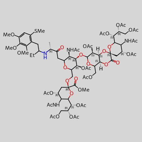 CCC(Cc1c(SC)cc(OC)c(OC)c1OC)N[C@H](C)C(=O)CC1OC(CO[C@]2(C(=O)OC)C[C@@H](OC(C)=O)C(NC(C)=O)C([C@H](OC(C)=O)[C@@H](COC(C)=O)OC(C)=O)O2)[C@H](OC(C)=O)[C@H](OC2OC(COC(C)=O)[C@@H]3OC(=O)[C@]4(C[C@@H](OC(C)=O)C(NC(C)=O)C([C@H](OC(C)=O)[C@@H](COC(C)=O)OC(C)=O)O4)O[C@@H]3[C@@H]2OC(C)=O)[C@@H]1NC(C)=O